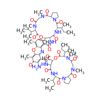 CCC(C)C1NC(=O)C(NC(=O)c2c3nc4c(C(=O)NC5C(=O)NC(C(C)CC)C(=O)N6CCCC6C(=O)N(C)CC(=O)N(C)C(C(C)CC)C(=O)OC5C)ccc(C)c4oc-3c(C)c(=O)c2N)C(C)OC(=O)C(C(C)CC)N(C)C(=O)CN(C)C(=O)C2CCCN2C1=O